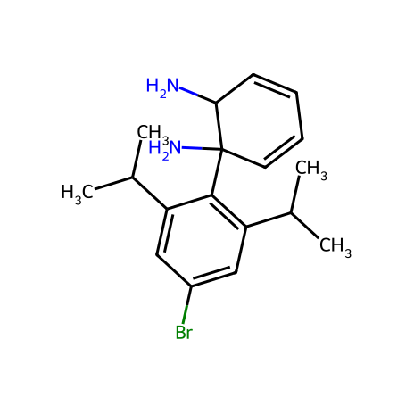 CC(C)c1cc(Br)cc(C(C)C)c1C1(N)C=CC=CC1N